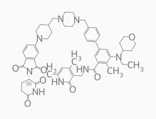 CCN(c1cc(-c2ccc(CN3CCN(CC4CCN(c5ccc6c(c5)C(=O)N([C@H]5CCC(=O)NC5=O)C6=O)CC4)CC3)cc2)cc(C(=O)NCc2c(C)cc(C)[nH]c2=O)c1C)C1CCOCC1